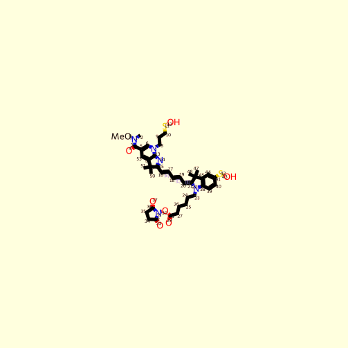 CON(C)C(=O)C1=CN(CCCSO)C2N=C(/C=C/C=C/C=C3/N(CCCCCC(=O)ON4C(=O)CCC4=O)c4ccc(SO)cc4C3(C)C)C(C)(C)C2=C1